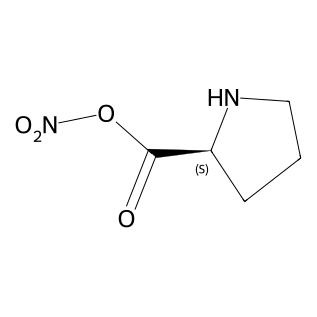 O=C(O[N+](=O)[O-])[C@@H]1CCCN1